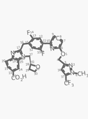 Cn1nc(COc2cccc(-c3cc(F)c(Cc4nc5ccc(C(=O)O)cc5n4C[C@@H]4CCO4)cc3F)n2)cc1C(F)(F)F